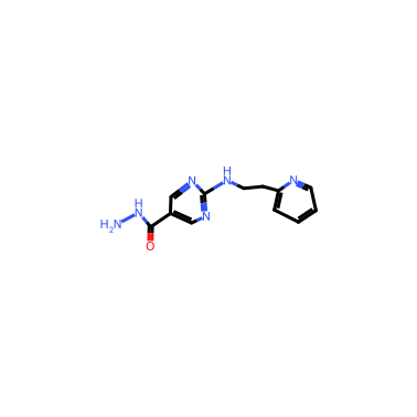 NNC(=O)c1cnc(NCCc2ccccn2)nc1